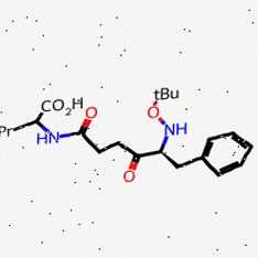 CC(C)C(NC(=O)CCC(=O)[C@H](Cc1ccccc1)NOC(C)(C)C)C(=O)O